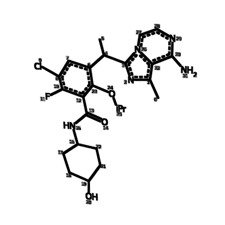 Cc1nc(C(C)c2cc(Cl)c(F)c(C(=O)NC3CCC(O)CC3)c2OC(C)C)n2ccnc(N)c12